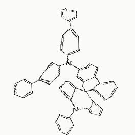 c1ccc(-c2ccc(N(c3ccc(-c4ccccc4)cc3)c3ccc4c(c3)C3(c5ccccc5-4)c4ccccc4N(c4ccccc4)c4ccccc43)cc2)cc1